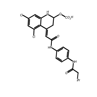 CC(C)CC(=O)Nc1ccc(NC(=O)/C=C2\CC(OC(=O)O)Nc3cc(Cl)cc(Cl)c32)cc1